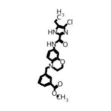 CCc1[nH]c(C(=O)Nc2ccc3c(c2)OCCN3Cc2cccc(C(=O)OC)c2)nc1Cl